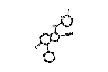 Cc1cccc(Nc2c(C#N)sc3c2ccc(=O)n3-c2ccccc2)n1